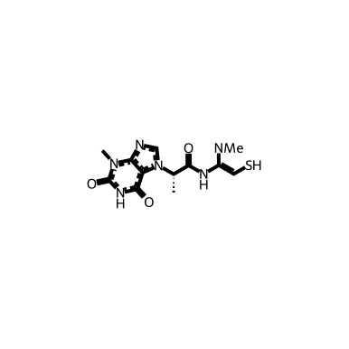 CN/C(=C\S)NC(=O)[C@H](C)n1cnc2c1c(=O)[nH]c(=O)n2C